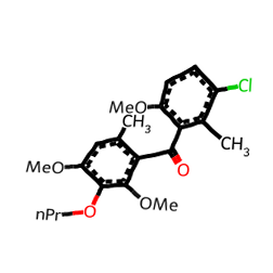 CCCOc1c(OC)cc(C)c(C(=O)c2c(OC)ccc(Cl)c2C)c1OC